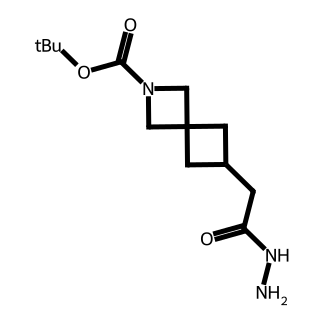 CC(C)(C)OC(=O)N1CC2(CC(CC(=O)NN)C2)C1